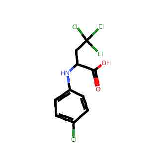 O=C(O)C(CC(Cl)(Cl)Cl)Nc1ccc(Cl)cc1